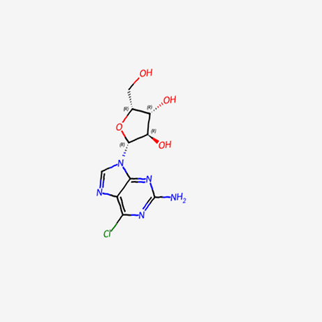 Nc1nc(Cl)c2ncn([C@@H]3O[C@H](CO)[C@H](O)[C@H]3O)c2n1